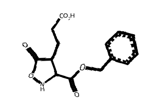 O=C(O)CCC1C(=O)ONC1C(=O)OCc1ccccc1